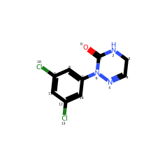 O=C1NCC=NN1c1cc(Cl)cc(Cl)c1